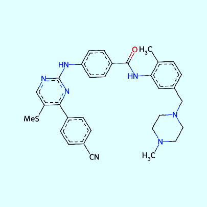 CSc1cnc(Nc2ccc(C(=O)Nc3cc(CN4CCN(C)CC4)ccc3C)cc2)nc1-c1ccc(C#N)cc1